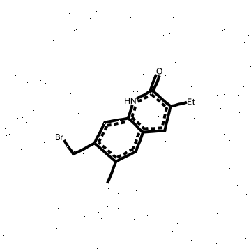 CCc1cc2cc(C)c(CBr)cc2[nH]c1=O